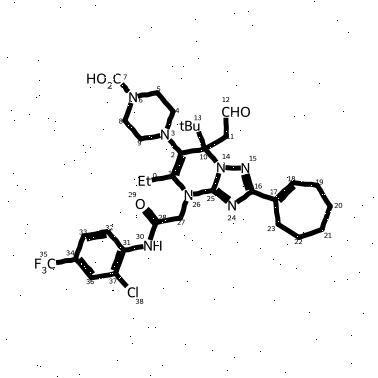 CCC1=C(N2CCN(C(=O)O)CC2)C(CC=O)(C(C)(C)C)n2nc(C3=CCCCCC3)nc2N1CC(=O)Nc1ccc(C(F)(F)F)cc1Cl